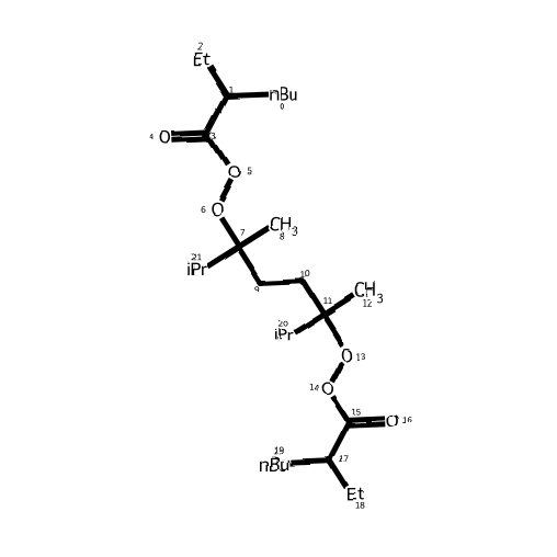 CCCCC(CC)C(=O)OOC(C)(CCC(C)(OOC(=O)C(CC)CCCC)C(C)C)C(C)C